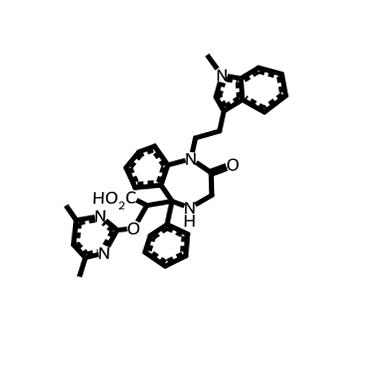 Cc1cc(C)nc(OC(C(=O)O)C2(c3ccccc3)NCC(=O)N(CCc3cn(C)c4ccccc34)c3ccccc32)n1